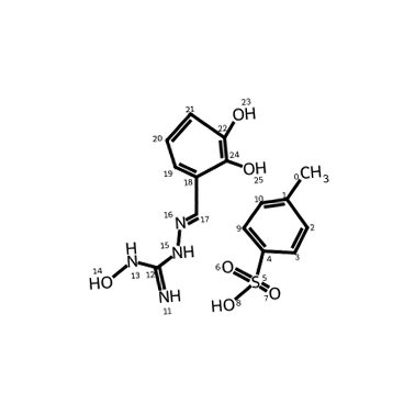 Cc1ccc(S(=O)(=O)O)cc1.N=C(NO)NN=Cc1cccc(O)c1O